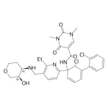 CCc1nc(C2(NC(=O)c3cn(C)c(=O)n(C)c3=O)C=CC=C(c3ccccc3Cl)C2Cl)ccc1CN[C@@H]1CCOC[C@@H]1O